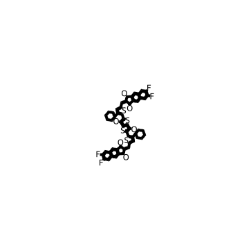 O=C1C(=Cc2cc3c(s2)-c2sc4c5c(sc4c2OC32CCCCC2)-c2sc(C=C3C(=O)c4cc6cc(F)c(F)cc6cc4C3=O)cc2C2(CCCCC2)O5)C(=O)c2cc3cc(F)c(F)cc3cc21